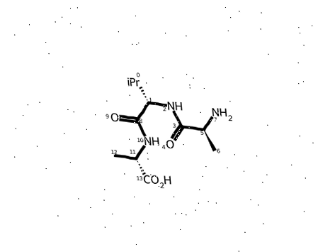 CC(C)[C@H](NC(=O)[C@H](C)N)C(=O)N[C@@H](C)C(=O)O